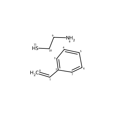 C=Cc1ccccc1.NCCS